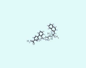 CC(OC[C@H](O)CNC(C)(C)Cc1ccc2ccccc2c1)c1ccccc1-c1ccc(C(N)=O)cc1